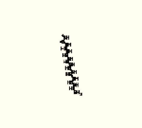 BBBBBBBBBBBBBBBB(C)BC